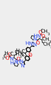 CC[C@H](C)[C@H](NC(=O)OC)C(=O)N1CCC[C@H]1c1ncc(-c2ccc3c(c2)Oc2ccc(-c4cnc([C@@H]5CCCN5C(=O)[C@@H](NC(=O)OC)[C@@H](C)CC)[nH]4)cc2C3(C)C)[nH]1